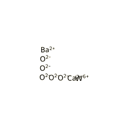 [Ba+2].[Ca+2].[O-2].[O-2].[O-2].[O-2].[O-2].[W+6]